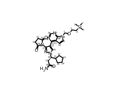 C[Si](C)(C)CCOCn1ccc2c(-c3cn([C@H](CC(N)=O)C4CCCC4)nc3N3C(=O)CCC3=O)ncnc21